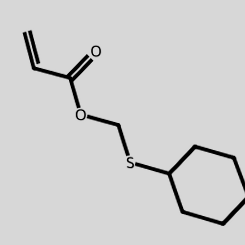 C=CC(=O)OCSC1CCCCC1